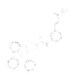 CC(CNNC(=O)c1cccc(/C=C/C(=O)NO)c1)C[PH](c1ccccc1)(c1ccccc1)c1ccccc1